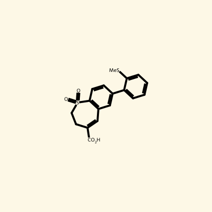 CSc1ccccc1-c1ccc2c(c1)C=C(C(=O)O)CCS2(=O)=O